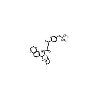 CC(C)Oc1ccc(C(=O)CCC(=O)N[C@H](CN2CCCC2)C(C)c2ccc3c(c2)OCCO3)cc1